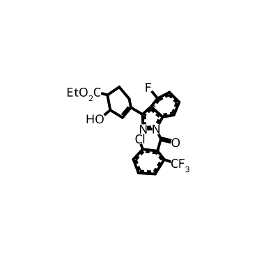 CCOC(=O)C1CCC(c2nn(C(=O)c3c(Cl)cccc3C(F)(F)F)c3cccc(F)c23)=CC1O